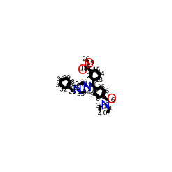 CCN(CC)C(=O)c1ccc(C(c2cccc(C(=O)OC)c2)N2CCN(Cc3ccccc3)CC2)cc1